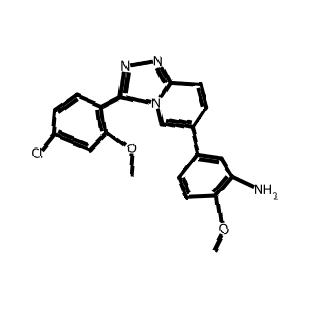 COc1ccc(-c2ccc3nnc(-c4ccc(Cl)cc4OC)n3c2)cc1N